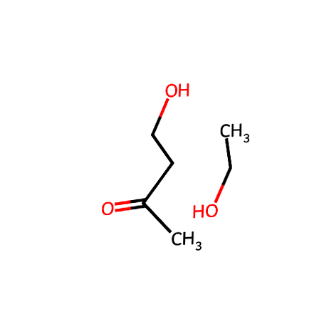 CC(=O)CCO.CCO